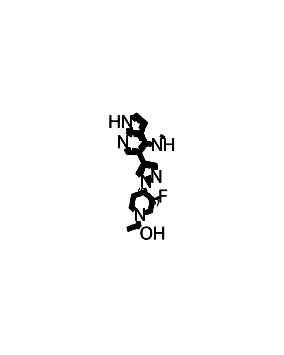 CNc1c(-c2cnn([C@H]3CCN(C(C)O)C[C@@H]3F)c2)cnc2[nH]ccc12